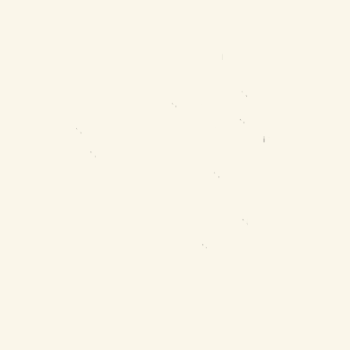 CCOc1nnccc1-c1cc(NCc2ncc(F)cn2)c2c(n1)c(C)nn2C(C)C